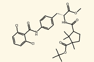 COC(=O)[C@@H](Cc1ccc(NC(=O)c2c(Cl)cccc2Cl)cc1)NC(=O)C1CCC(C)(C(=O)OC(C)(C)C)C1(C)C